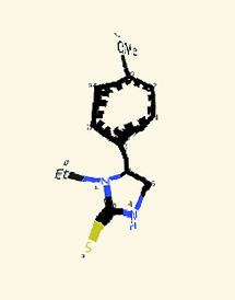 CCN1C(=S)NCC1c1ccc(OC)cc1